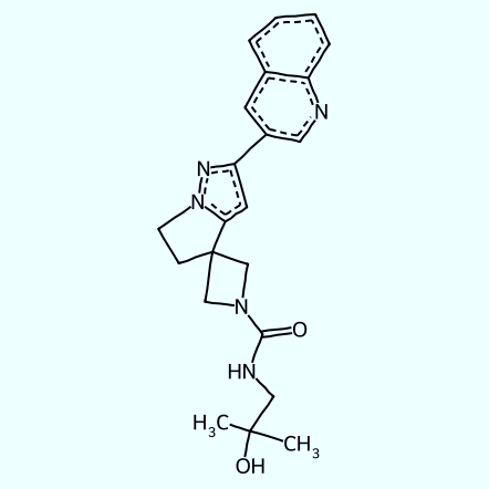 CC(C)(O)CNC(=O)N1CC2(CCn3nc(-c4cnc5ccccc5c4)cc32)C1